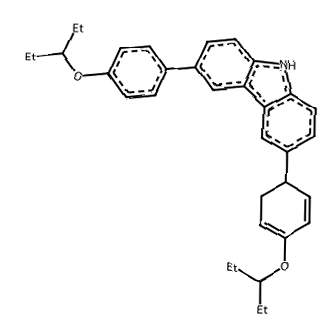 CCC(CC)OC1=CCC(c2ccc3[nH]c4ccc(-c5ccc(OC(CC)CC)cc5)cc4c3c2)C=C1